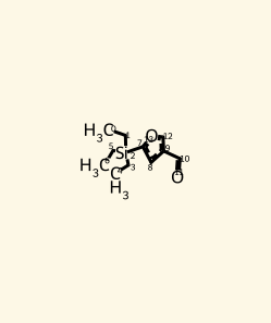 CC[Si](CC)(CC)c1cc(C=O)co1